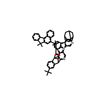 CC(C)(C)c1ccc2c(c1)C1c3ncc4c(c3C23c2cc(C(C)(C)C)ccc2C13)c1cc(-c2cc3c(c5ccccc25)-c2ccccc2C3(C)C)cc2c3c5c(ncc3n4c21)C1CC2CC(C1)CC5C2